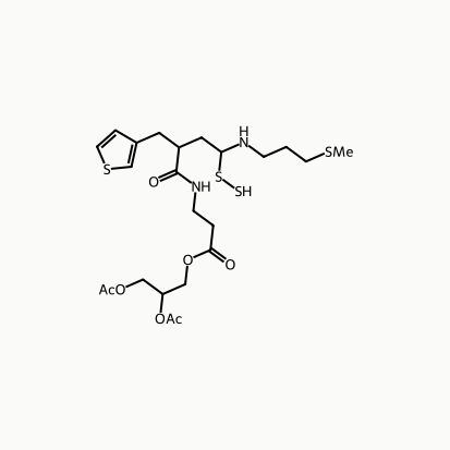 CSCCCNC(CC(Cc1ccsc1)C(=O)NCCC(=O)OCC(COC(C)=O)OC(C)=O)SS